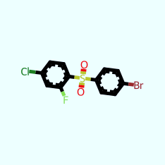 O=S(=O)(c1ccc(Br)cc1)c1ccc(Cl)cc1F